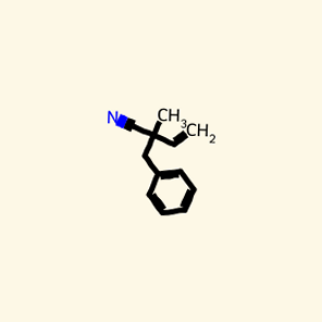 C=CC(C)(C#N)Cc1ccccc1